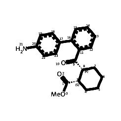 COC(=O)[C@H]1CCCC[C@H]1C(=O)c1ccccc1-c1ccc(N)cc1